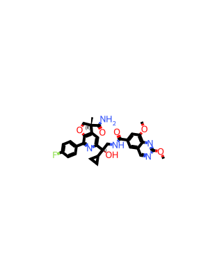 COc1ncc2cc(C(=O)NC[C@](O)(c3cc4c(c(-c5ccc(F)cc5)n3)OC[C@]4(C)C(N)=O)C3CC3)cc(OC)c2n1